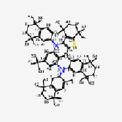 CC1=CC2=C(CC1N1c3cc4c(cc3B3c5sc6c(c5N(c5ccc7c(c5)C(C)(C)CCC7(C)C)c5cc(C(C)(C)C)cc1c53)C(C)(C)CCC6(C)C)C(C)(C)CCC4(C)C)C(C)(C)CCC2(C)C